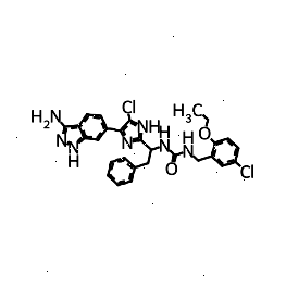 CCOc1ccc(Cl)cc1CNC(=O)NC(Cc1ccccc1)c1nc(-c2ccc3c(N)n[nH]c3c2)c(Cl)[nH]1